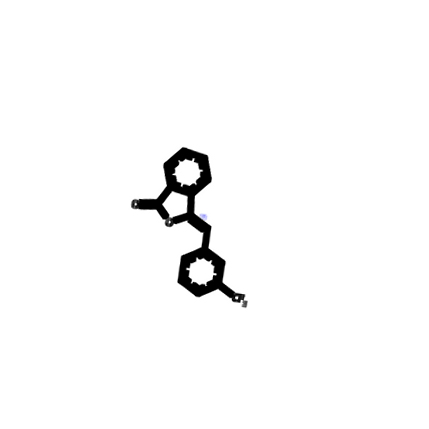 O=C1O/C(=C\c2cccc(C(F)(F)F)c2)c2ccccc21